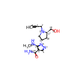 C#CCN1C[C@@H](n2ncc(C(N)=O)c2NC)C[C@@H]1CO